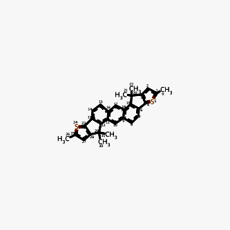 Cc1cc2c(s1)-c1ccc3cc4c5c(ccc4cc3c1C2(C)C)-c1sc(C)cc1C5(C)C